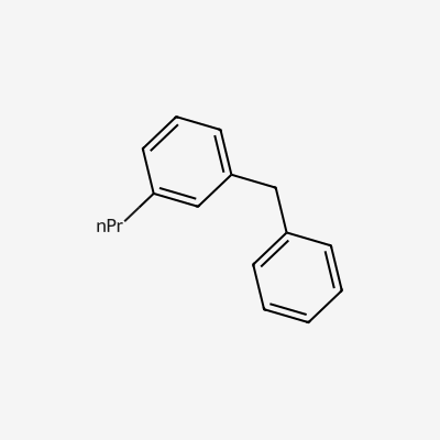 [CH2]CCc1cccc(Cc2ccccc2)c1